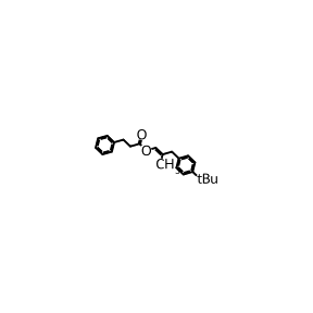 C/C(=C\OC(=O)CCc1ccccc1)Cc1ccc(C(C)(C)C)cc1